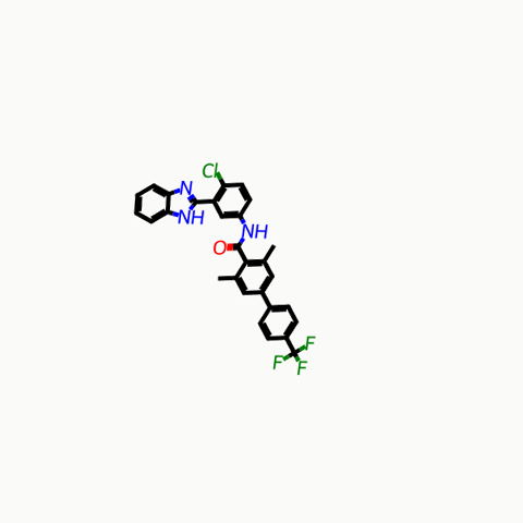 Cc1cc(-c2ccc(C(F)(F)F)cc2)cc(C)c1C(=O)Nc1ccc(Cl)c(-c2nc3ccccc3[nH]2)c1